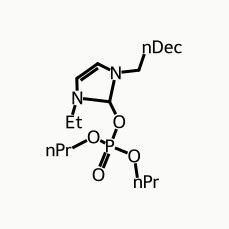 CCCCCCCCCCCN1C=CN(CC)C1OP(=O)(OCCC)OCCC